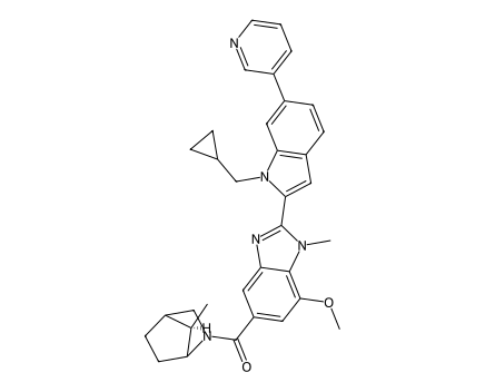 COc1cc(C(=O)N2CC3CCC2[C@@H]3C)cc2nc(-c3cc4ccc(-c5cccnc5)cc4n3CC3CC3)n(C)c12